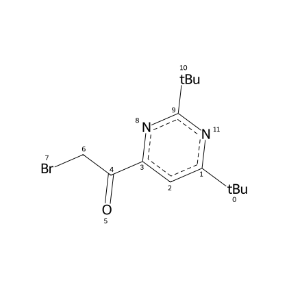 CC(C)(C)c1cc(C(=O)CBr)nc(C(C)(C)C)n1